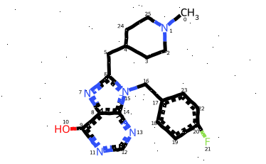 CN1CCC(Cc2nc3c(O)ncnc3n2Cc2ccc(F)cc2)CC1